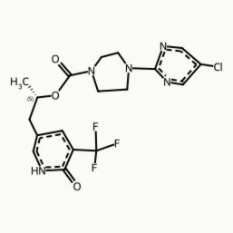 C[C@@H](Cc1c[nH]c(=O)c(C(F)(F)F)c1)OC(=O)N1CCN(c2ncc(Cl)cn2)CC1